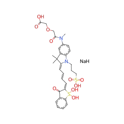 CN(C(=O)COCC(=O)O)c1ccc2c(c1)C(C)(C)C(=CC=CC=C1C(=O)c3ccccc3S1(O)O)N2CCCS(=O)(=O)O.[NaH]